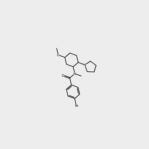 COC1CCC(N2CCCC2)C(N(C)C(=O)c2ccc(Br)cc2)C1